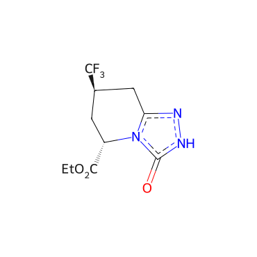 CCOC(=O)[C@@H]1C[C@@H](C(F)(F)F)Cc2n[nH]c(=O)n21